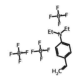 C=Cc1ccc(N(CC)CC)cc1.F[B-](F)(F)F.F[B-](F)(F)F.F[B-](F)(F)F